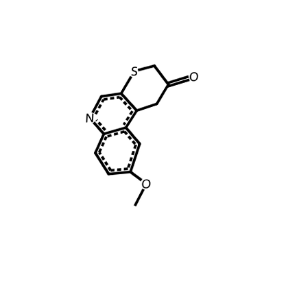 COc1ccc2ncc3c(c2c1)CC(=O)CS3